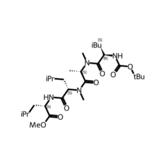 CC[C@H](C)[C@@H](NC(=O)OC(C)(C)C)C(=O)N(C)[C@@H](C)C(=O)N(C)[C@@H](CC(C)C)C(=O)N[C@@H](CC(C)C)C(=O)OC